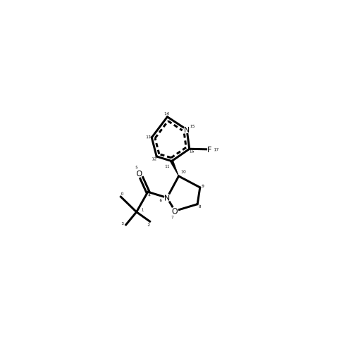 CC(C)(C)C(=O)N1OCC[C@@H]1c1cccnc1F